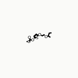 CCC(C)OCCOc1ccc(OC(=O)OC)s1